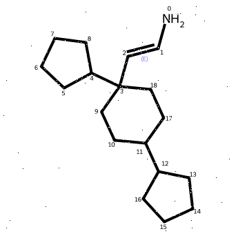 N/C=C/C1(C2CCCC2)CCC(C2CCCC2)CC1